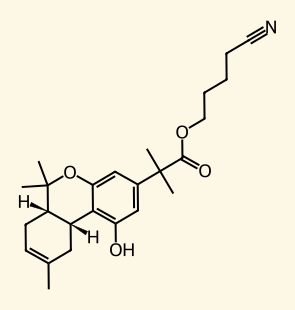 CC1=CC[C@H]2[C@@H](C1)c1c(O)cc(C(C)(C)C(=O)OCCCCC#N)cc1OC2(C)C